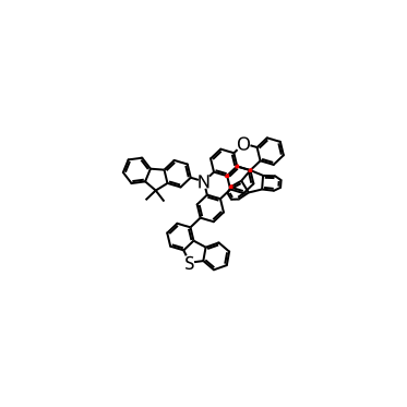 CC1(C)c2ccccc2-c2ccc(N(c3ccc4c(c3)C3(c5ccccc5O4)c4ccccc4-c4ccccc43)c3cc(-c4cccc5sc6ccccc6c45)ccc3-c3ccccc3)cc21